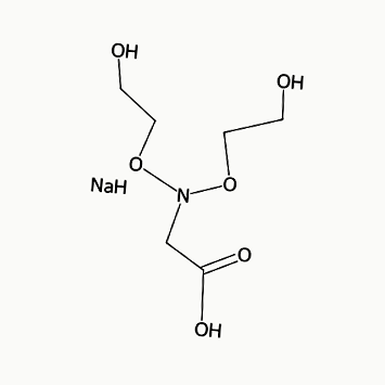 O=C(O)CN(OCCO)OCCO.[NaH]